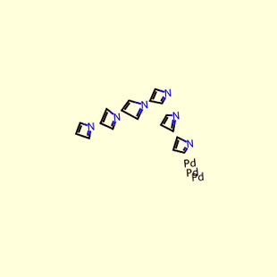 C1=CN=C1.C1=CN=C1.C1=CN=C1.C1=CN=C1.C1=CN=C1.C1=CN=C1.[Pd].[Pd].[Pd]